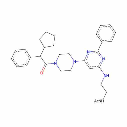 CC(=O)NCCNc1cc(N2CCN(C(=O)C(c3ccccc3)C3CCCC3)CC2)nc(-c2ccccc2)n1